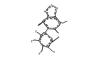 Cc1c(-c2c(F)c(F)c(F)c(F)c2F)c(C)c2nsnc2c1C